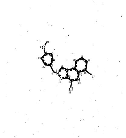 COc1ccc(Cn2cc3c(n2)c(Cl)nc2c(F)cccc23)cc1